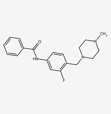 CN1CCN(Cc2ccc(NC(=O)c3ccccc3)cc2F)CC1